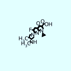 CNC1CN(c2nc3c(cc2F)c(=O)c(C(=O)O)cn3C2CC2)CC1C